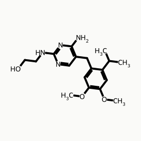 COc1cc(Cc2cnc(NCCO)nc2N)c(C(C)C)cc1OC